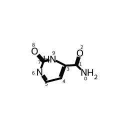 NC(=O)c1ccnc(=O)[nH]1